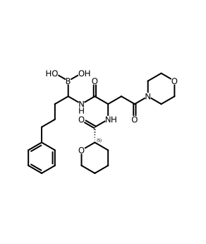 O=C(NC(CCCc1ccccc1)B(O)O)C(CC(=O)N1CCOCC1)NC(=O)[C@@H]1CCCCO1